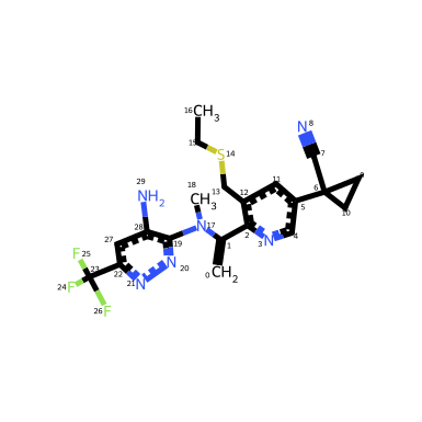 C=C(c1ncc(C2(C#N)CC2)cc1CSCC)N(C)c1nnc(C(F)(F)F)cc1N